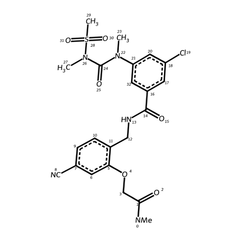 CNC(=O)COc1cc(C#N)ccc1CNC(=O)c1cc(Cl)cc(N(C)C(=O)N(C)S(C)(=O)=O)c1